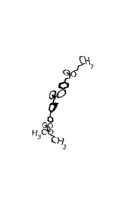 CCCCCOC(=O)CCc1ccc(OC(=O)c2ccc(-c3ccc(OC(=O)[C@H](C)OCCC)cc3)cc2)cc1